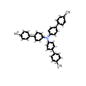 N#Cc1ccc(-c2ccc(N(c3ccc(-c4ccc(C#N)cc4)cc3)c3ccc(-c4ccc(C#N)cc4)cc3)cc2)cc1